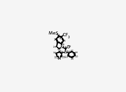 CSc1cc2c(cc1C(F)(F)F)N(C(=O)N(c1ccccc1)c1cccnc1)CC2